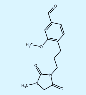 COc1cc(C=O)ccc1CCCN1C(=O)CN(C)C1=O